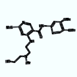 CCCN(CCO)CCNc1nc(SC)ncc1C(=O)Nc1ccc(OC)c(OC)c1